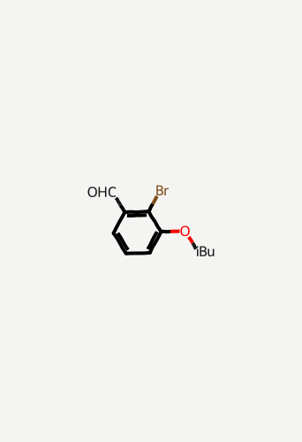 CCC(C)Oc1cccc(C=O)c1Br